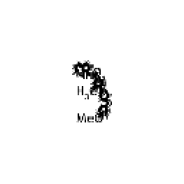 COc1ccc(OC2CCN(c3nnc(C(=O)NC4CCc5cccnc54)cc3C)CC2)cn1